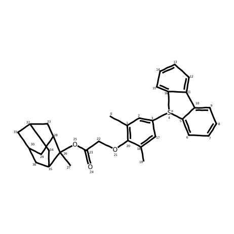 Cc1cc(-[s+]2c3ccccc3c3ccccc32)cc(C)c1OCC(=O)OC1(C)C2CC3CC(C2)CC1C3